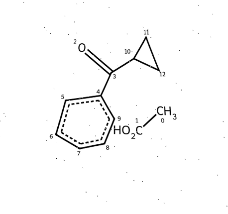 CC(=O)O.O=C(c1ccccc1)C1CC1